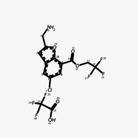 NCc1cc2cc(Cl)cc(C(=O)OCC(F)(F)F)c2o1.O=C(O)C(F)(F)F